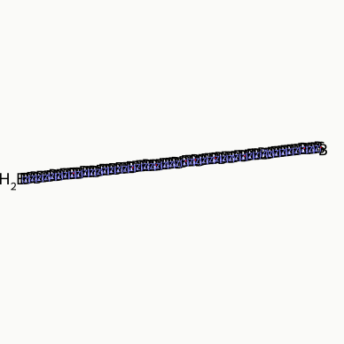 B#S\B=B/B=B\B=B/B=B\B=B/B=B\B=B/B=B\B=B/B=B\B=B/B=B\B=B/B=B\B=B/B=B\B=B/B=B\B=B/B=B\B=B/B=B\B=B/B=B\B=B/B=B\B=B/B=B\B=B/B=B\B=B/B=B\B=B/B=B\B=B/B=B\B=B/B=B\B=B/B=B\B=B/B=B\B=B/B=B\B=B/B